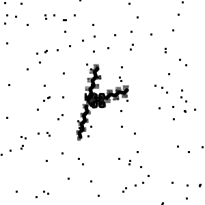 CCCCCCCCN(CCCCCCCC)OP(=O)(O)OCCCCCC